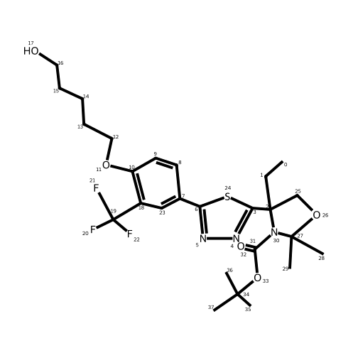 CCC1(c2nnc(-c3ccc(OCCCCCO)c(C(F)(F)F)c3)s2)COC(C)(C)N1C(=O)OC(C)(C)C